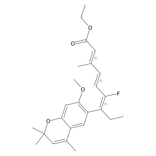 CCOC(=O)/C=C(C)/C=C/C(F)=C(/CC)c1cc2c(cc1OC)OC(C)(C)C=C2C